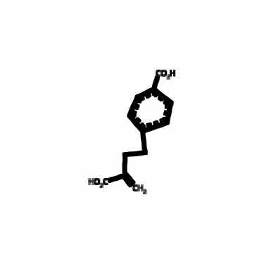 C=C(CCc1ccc(C(=O)O)cc1)C(=O)O